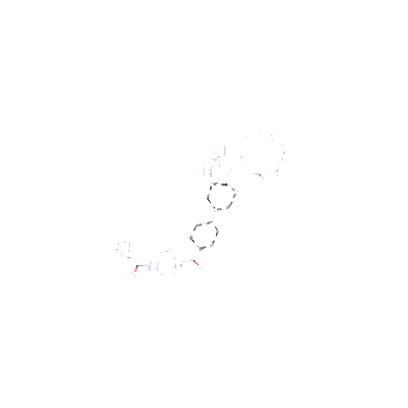 CN1Nc2cc(-c3ccc(C(=O)N4CCN(C(=O)C5CCO5)CC4)cc3)ccc2C1C1CCCCCCCCC1